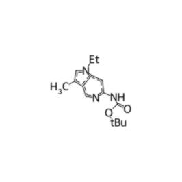 CCn1cc(C)c2cnc(NC(=O)OC(C)(C)C)cc21